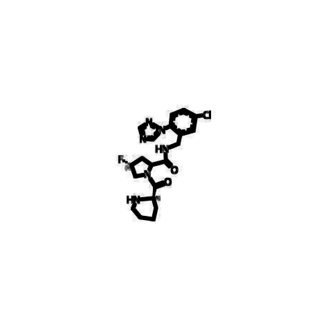 O=C(NCc1cc(Cl)ccc1-n1cncn1)C1C[C@@H](F)CN1C(=O)[C@H]1CCCCN1